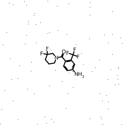 Nc1ccc(C(=O)N2CCCC(F)(F)C2)c(C(F)(F)F)c1